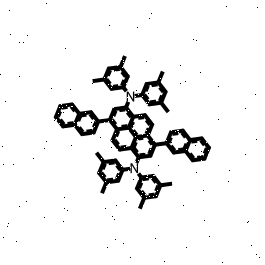 Cc1cc(C)cc(N(c2cc(C)cc(C)c2)c2cc(-c3ccc4ccccc4c3)c3ccc4c(N(c5cc(C)cc(C)c5)c5cc(C)cc(C)c5)cc(-c5ccc6ccccc6c5)c5ccc2c3c54)c1